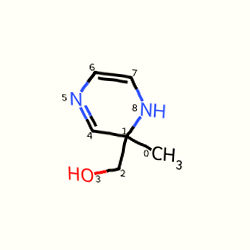 CC1(CO)C=NC=CN1